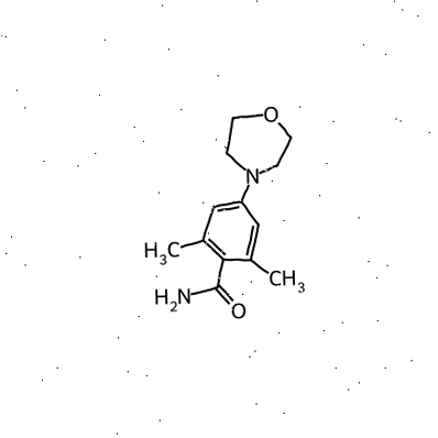 Cc1cc(N2CCOCC2)cc(C)c1C(N)=O